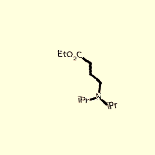 CCOC(=O)CCCN(C(C)C)C(C)C